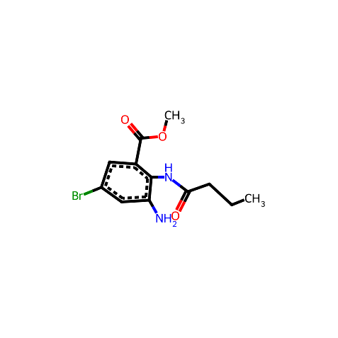 CCCC(=O)Nc1c(N)cc(Br)cc1C(=O)OC